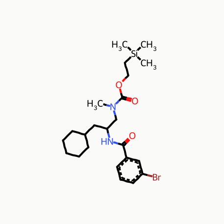 CN(CC(CC1CCCCC1)NC(=O)c1cccc(Br)c1)C(=O)OCC[Si](C)(C)C